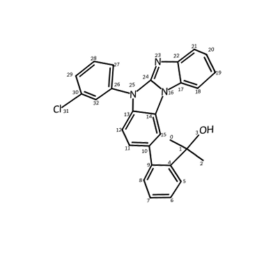 CC(C)(O)c1ccccc1-c1ccc2c(c1)n1c3ccccc3nc1n2-c1cccc(Cl)c1